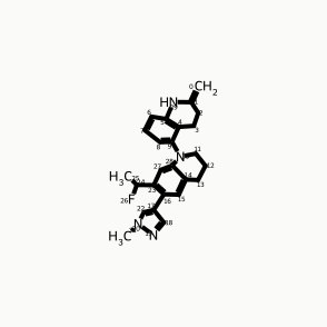 C=C1CCc2c(cccc2N2CCCc3cc(-c4cnn(C)c4)c(C(C)F)cc32)N1